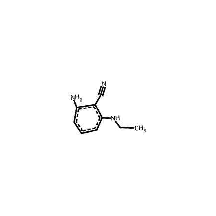 CCNc1cccc(N)c1C#N